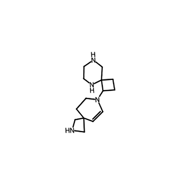 C1=CC2(CCN1C1CCC13CNCCN3)CNC2